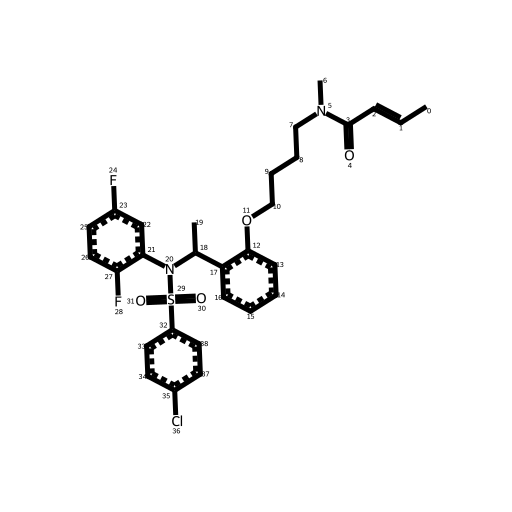 CC=CC(=O)N(C)CCCCOc1ccccc1C(C)N(c1cc(F)ccc1F)S(=O)(=O)c1ccc(Cl)cc1